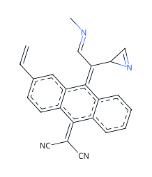 C=Cc1ccc2c(=C(C#N)C#N)c3ccccc3/c(=C(/C=N/C)C3C=N3)c2c1